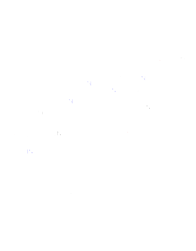 CC(C)(C)OC(=O)Nc1sc2c(F)ccc(-c3c4c(c5c(N6CC7CC6CN7C(=O)OC(C)(C)C)ncnc5c3F)C(CC#N)OC4)c2c1C#N